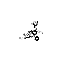 CCCCC1CN(c2ccccc2)c2cc(C)c(O/C=C(\F)C(=O)O)cc2S(=O)(=O)N1C